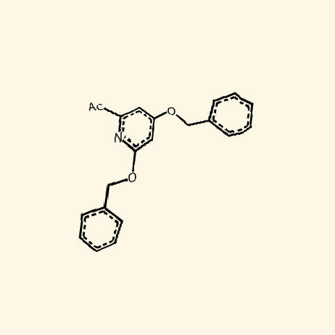 CC(=O)c1cc(OCc2ccccc2)cc(OCc2ccccc2)n1